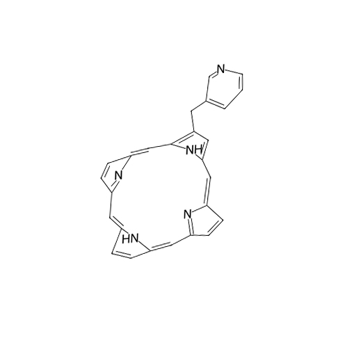 C1=Cc2cc3cc(Cc4cccnc4)c(cc4nc(cc5ccc(cc1n2)[nH]5)C=C4)[nH]3